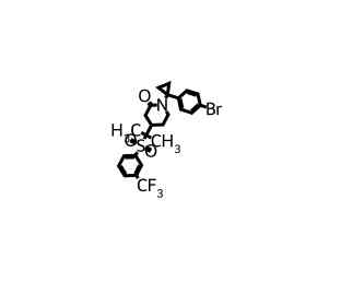 CC(C)(C1CCN(C2(c3ccc(Br)cc3)CC2)C(=O)C1)S(=O)(=O)c1cccc(C(F)(F)F)c1